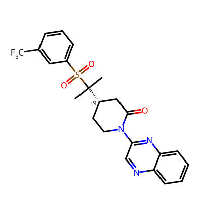 CC(C)([C@H]1CCN(c2cnc3ccccc3n2)C(=O)C1)S(=O)(=O)c1cccc(C(F)(F)F)c1